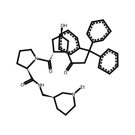 CCN1CCC[C@@H](CNC(=O)[C@H]2CCCN2C(=O)[C@@H]2C[C@@H](O)CN2C(=O)CC(c2ccccc2)(c2ccccc2)c2ccccc2)C1